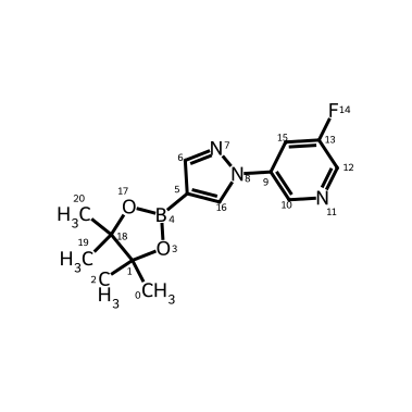 CC1(C)OB(c2cnn(-c3cncc(F)c3)c2)OC1(C)C